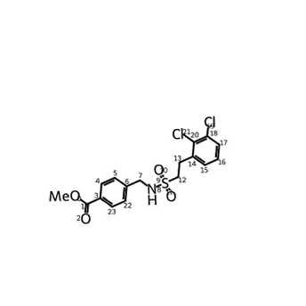 COC(=O)c1ccc(CNS(=O)(=O)CCc2cccc(Cl)c2Cl)cc1